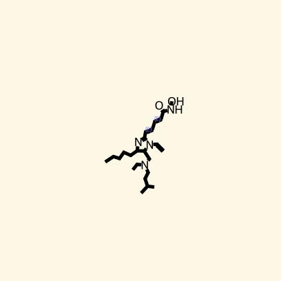 C=CN1C(/C=C/C=C/C(=O)NO)=NC(CCCCC)C1CN(CC)CCC(C)C